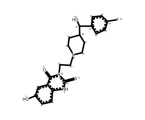 O=c1c2cc(O)ccc2[nH]c(=S)n1CCN1CCC(C(O)c2ccc(F)cc2)CC1